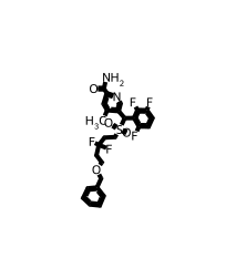 Cc1cc(C(N)=O)ncc1C(c1c(F)ccc(F)c1F)S(=O)(=O)CCC(F)(F)CCOCc1ccccc1